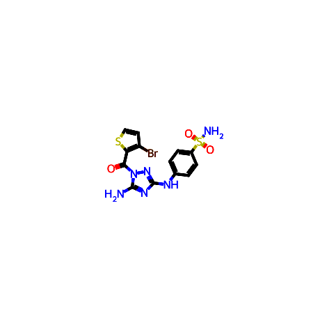 Nc1nc(Nc2ccc(S(N)(=O)=O)cc2)nn1C(=O)c1sccc1Br